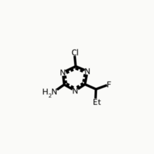 CCC(F)c1nc(N)nc(Cl)n1